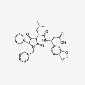 CC(C)C[C@@H](C(=O)N[C@@H](CC(=O)O)c1ccc2c(c1)OCO2)N1C(=O)N(Cc2ccccc2)[C@@](C)(c2ccccc2)C1=O